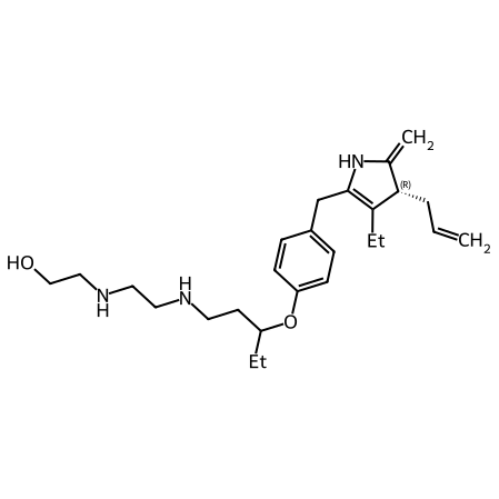 C=CC[C@H]1C(=C)NC(Cc2ccc(OC(CC)CCNCCNCCO)cc2)=C1CC